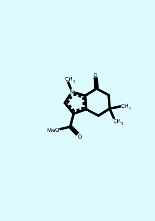 COC(=O)c1cn(C)c2c1CC(C)(C)CC2=O